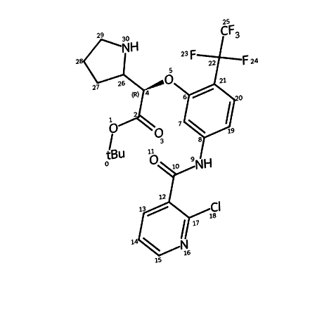 CC(C)(C)OC(=O)[C@H](Oc1cc(NC(=O)c2cccnc2Cl)ccc1C(F)(F)C(F)(F)F)C1CCCN1